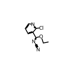 CCOC(=NC#N)c1cccnc1Cl